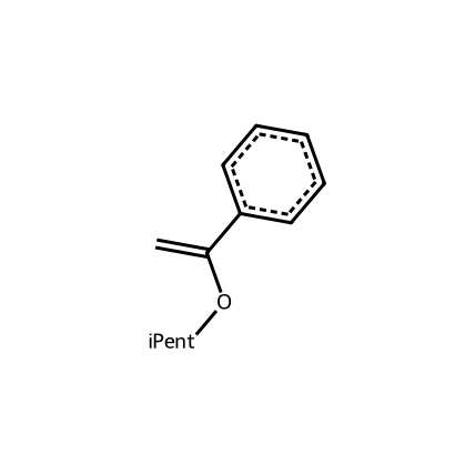 C=C(OC(C)CCC)c1ccccc1